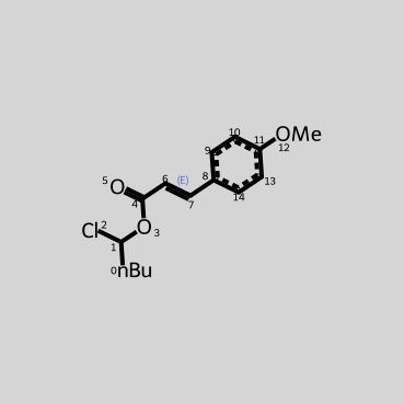 CCCCC(Cl)OC(=O)/C=C/c1ccc(OC)cc1